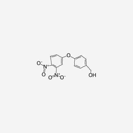 O=[N+]([O-])c1ccc(Oc2ccc(CO)cc2)cc1[N+](=O)[O-]